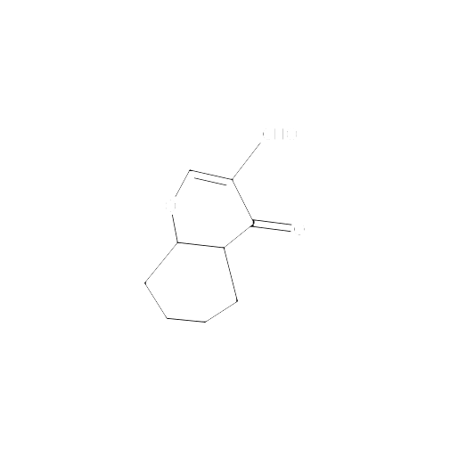 O=CC1=COC2CCCCC2C1=O